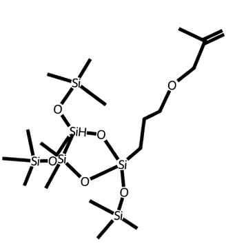 C=C(C)COCCC[Si](O[SiH](O[Si](C)(C)C)O[Si](C)(C)C)(O[Si](C)(C)C)O[Si](C)(C)C